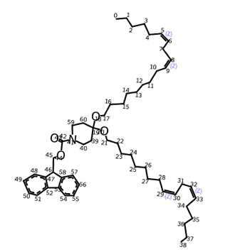 CCCCC/C=C\C/C=C\CCCCCCCCOC1(OCCCCCCCC/C=C\C/C=C\CCCCC)CCN(C(=O)OCC2c3ccccc3-c3ccccc32)CC1